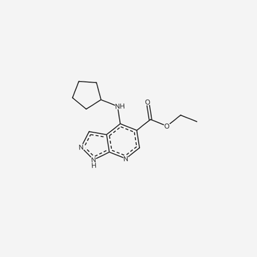 CCOC(=O)c1cnc2[nH]ncc2c1NC1CCCC1